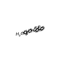 Cc1ccc(-c2ccc(CCc3ccc(-c4ccccc4)c(F)c3F)cc2)c(F)c1